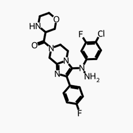 NN(c1ccc(Cl)c(F)c1)c1c(-c2ccc(F)cc2)nc2n1CCN(C(=O)C1COCCN1)C2